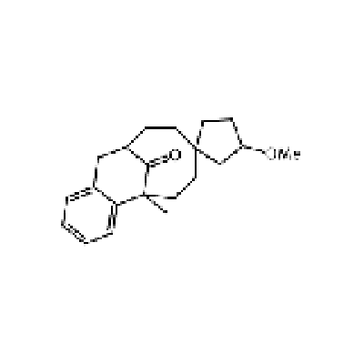 COC1CCC2(CCC3Cc4ccccc4C(C)(CC2)C3=O)C1